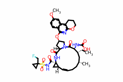 CC[C@@H]1C[C@H](C)CC/C=C\[C@@H]2C[C@@]2(C(=O)NS(=O)(=O)C2(CF)CC2)NC(=O)[C@@H]2C[C@@H](Oc3nc4c(c5cc(OC)ccc35)CCCO4)CN2C(=O)[C@H]1NC(=O)O